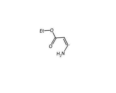 CCOC(=O)/C=[C]\N